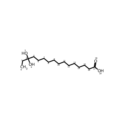 CCC(O)(O)CCCCCCCCCCCCC(=O)O